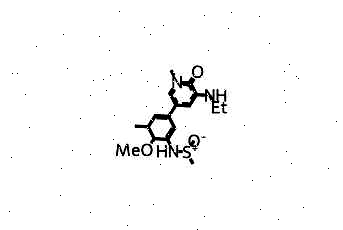 CCNc1cc(C2=CC(C)C(OC)C(N[S+](C)[O-])=C2)cn(C)c1=O